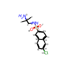 CC(C)(N)CNS(=O)(=O)c1ccc2cc(Cl)ccc2c1